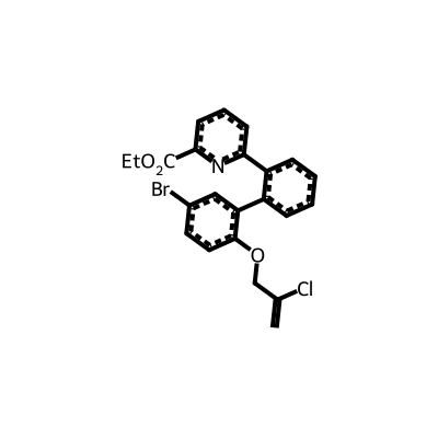 C=C(Cl)COc1ccc(Br)cc1-c1ccccc1-c1cccc(C(=O)OCC)n1